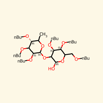 CCCCOCC1O[C@@H](O)C(O[C@@H]2OC(C)[C@@H](OCCCC)C(OCCCC)[C@@H]2OCCCC)[C@@H](OCCCC)[C@H]1OCCCC